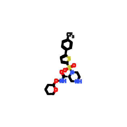 O=C(NOC1CCCCO1)[C@H]1CNCCN1S(=O)(=O)c1ccc(-c2ccc(C(F)(F)F)cc2)s1